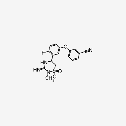 CN1C(=N)NC(c2cc(Oc3cccc(C#N)c3)ccc2F)CS1(=O)=O